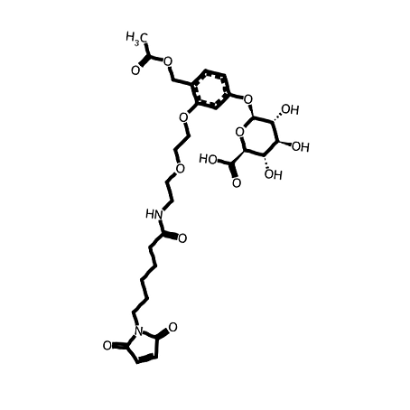 CC(=O)OCc1ccc(O[C@@H]2O[C@H](C(=O)O)[C@@H](O)[C@H](O)[C@H]2O)cc1OCCOCCNC(=O)CCCCCN1C(=O)C=CC1=O